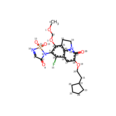 COCOc1c(N2C(=O)C=NS2(=O)=O)c(F)c2cc(OCCC3CCCC3)c(=O)n3c2c1CC3